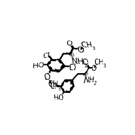 COC(=O)[C@H](N)Cc1c(Cl)cc(OC)c(O)c1Cl.COC(=O)[C@H](N)Cc1ccc(O)c(Cl)c1